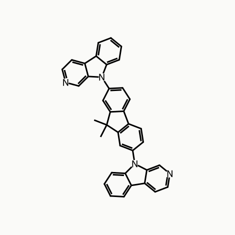 CC1(C)c2cc(-n3c4ccccc4c4ccncc43)ccc2-c2ccc(-n3c4ccccc4c4ccncc43)cc21